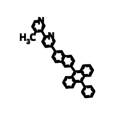 Cc1ccncc1-c1ccc(-c2ccc3cc(-c4c5ccccc5c(-c5ccccc5)c5ccccc45)ccc3c2)cn1